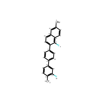 CCCCc1ccc2c(F)c(-c3ccc(-c4ccc(C(F)(F)F)c(F)c4)cc3)ccc2c1